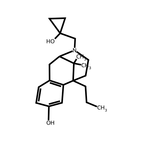 CCCC12CCN(CC3(O)CC3)C(Cc3ccc(O)cc31)C2(C)C